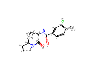 Cc1ccc(C(=O)NC(C)C(=O)N2CCC[C@H]2C)cc1Cl